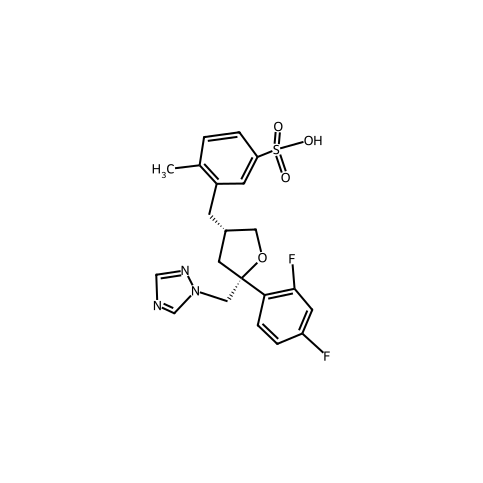 Cc1ccc(S(=O)(=O)O)cc1C[C@@H]1CO[C@@](Cn2cncn2)(c2ccc(F)cc2F)C1